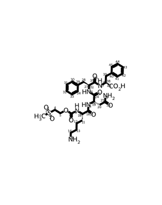 CS(=O)(=O)CCOC(=O)N[C@@H](CCCCN)C(=O)N[C@@H](CC(N)=O)C(=O)N[C@@H](Cc1ccccc1)C(=O)N[C@@H](Cc1ccccc1)C(=O)O